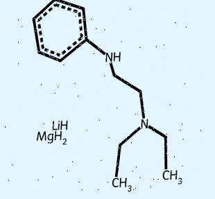 CCN(CC)CCNc1ccccc1.[LiH].[MgH2]